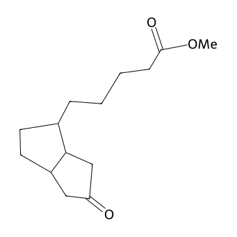 COC(=O)CCCCC1CCC2CC(=O)CC12